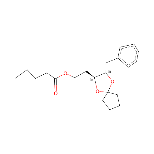 CCCCC(=O)OCC[C@@H]1OC2(CCCC2)O[C@H]1Cc1ccccc1